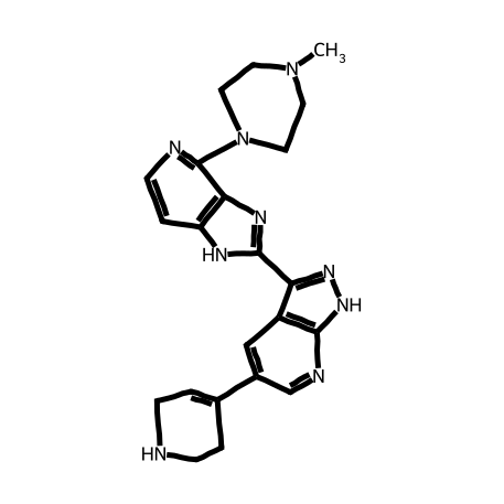 CN1CCN(c2nccc3[nH]c(-c4n[nH]c5ncc(C6=CCNCC6)cc45)nc23)CC1